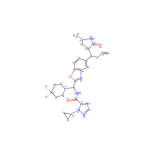 COCC(c1ccc2oc(C(NC(=O)c3ncnn3C3CC3)C3CCC(F)(F)CC3)nc2c1)N1CC(C(F)(F)F)NC1=O